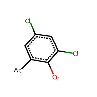 CC(=O)c1cc(Cl)cc(Cl)c1[O]